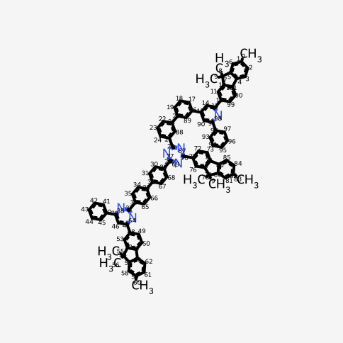 Cc1ccc2c(c1)C(C)(C)c1cc(-c3cc(-c4cccc(-c5cccc(-c6nc(-c7ccc(-c8ccc(-c9nc(-c%10ccccc%10)cc(-c%10ccc%11c(c%10)C(C)(C)c%10cc(C)ccc%10-%11)n9)cc8)cc7)nc(-c7ccc8c(c7)C(C)(C)c7cc(C)ccc7-8)n6)c5)c4)cc(-c4ccccc4)n3)ccc1-2